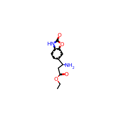 CCOC(=O)C[C@H](N)c1ccc2[nH]c(=O)oc2c1